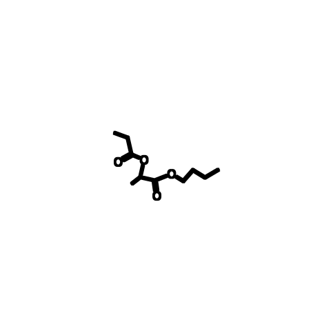 CCCCOC(=O)C(C)OC(=O)CC